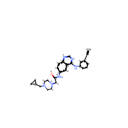 C#Cc1cccc(Nc2ncnc3ccc(NC(=O)CN4CCN(CC5CC5)CC4)cc23)c1